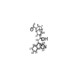 CC(=O)C1C2CC3CC1CC(C(O)CC1c4ccccc4-c4cncn41)(C3)C2